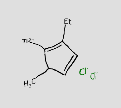 CCC1=[C]([Ti+2])C(C)C=C1.[Cl-].[Cl-]